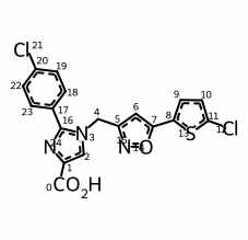 O=C(O)c1cn(Cc2cc(-c3ccc(Cl)s3)on2)c(-c2ccc(Cl)cc2)n1